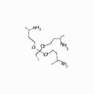 CCC(OCCC(C)N)(OCCC(C)N)OCCC(C)N